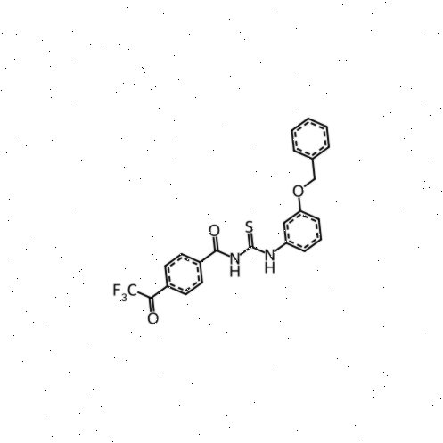 O=C(NC(=S)Nc1cccc(OCc2ccccc2)c1)c1ccc(C(=O)C(F)(F)F)cc1